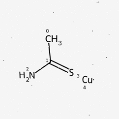 CC(N)=S.[Cu]